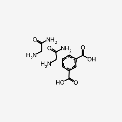 NCC(N)=O.NCC(N)=O.O=C(O)c1cccc(C(=O)O)c1